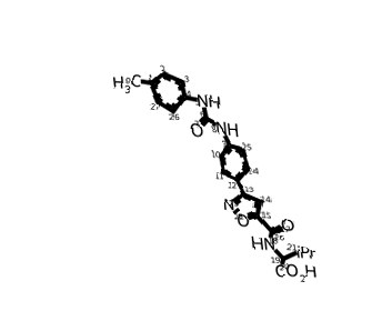 Cc1ccc(NC(=O)Nc2ccc(-c3cc(C(=O)NC(C(=O)O)C(C)C)on3)cc2)cc1